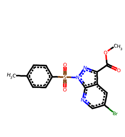 COC(=O)c1nn(S(=O)(=O)c2ccc(C)cc2)c2ncc(Br)cc12